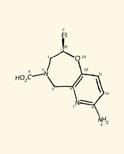 CC[C@@H]1CN(C(=O)O)Cc2nc(N)ccc2O1